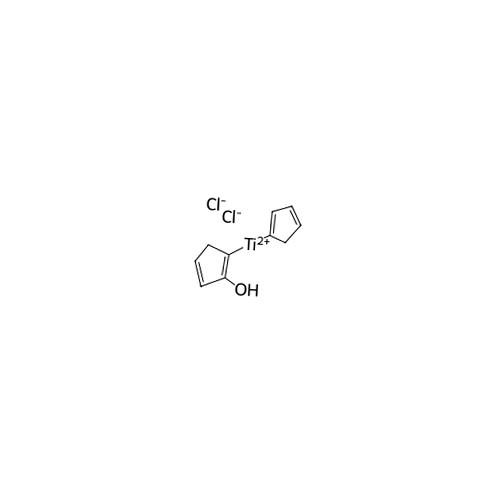 OC1=[C]([Ti+2][C]2=CC=CC2)CC=C1.[Cl-].[Cl-]